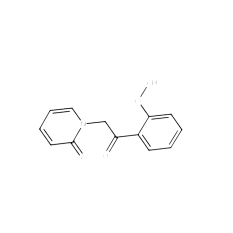 COc1ccccc1C(=O)Cn1ccccc1=O